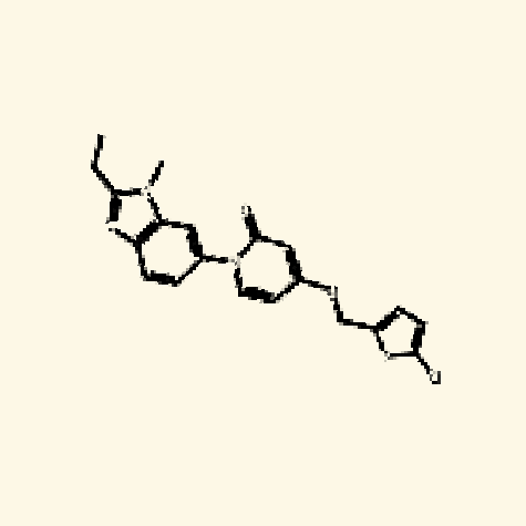 CCc1nc2ccc(-n3ccc(OCc4ccc(Cl)s4)cc3=O)cc2n1C